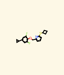 Fc1cc(C2CC2)cc(F)c1OCc1cccc(SC2CCC2)n1